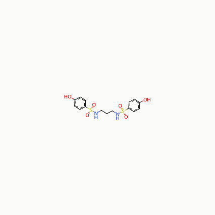 O=S(=O)(NCCCNS(=O)(=O)c1ccc(O)cc1)c1ccc(O)cc1